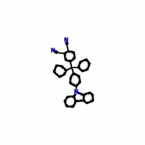 N#Cc1ccc(C(c2ccccc2)(c2ccccc2)c2ccc(-n3c4ccccc4c4ccccc43)cc2)cc1C#N